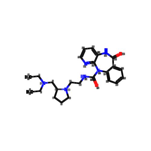 CCN(CC)CC1CCCN1CCNC(=O)N1c2ccccc2C(=O)Nc2cccnc21